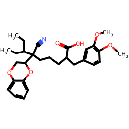 CCC(CC)C(C#N)(CCCC(Cc1ccc(OC)c(OC)c1)C(=O)O)C1COc2ccccc2O1